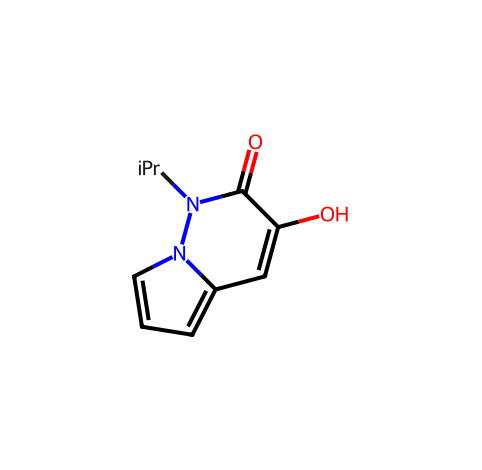 CC(C)n1c(=O)c(O)cc2cccn21